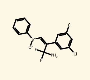 [O-][S+](/C=C(/c1cc(Cl)cc(Cl)c1)C(F)(F)P)c1ccccc1